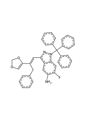 Nc1cc2c(C=C(Cc3ccccc3)C3=COCO3)nn(C(c3ccccc3)(c3ccccc3)c3ccccc3)c2cc1F